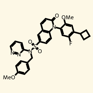 COc1ccc(CN(c2cccnn2)S(=O)(=O)c2ccc3c(ccc(=O)n3-c3cc(F)c(C4CCC4)cc3OC)c2)cc1